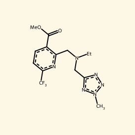 CCN(Cc1nnn(C)n1)Cc1nc(C(F)(F)F)ccc1C(=O)OC